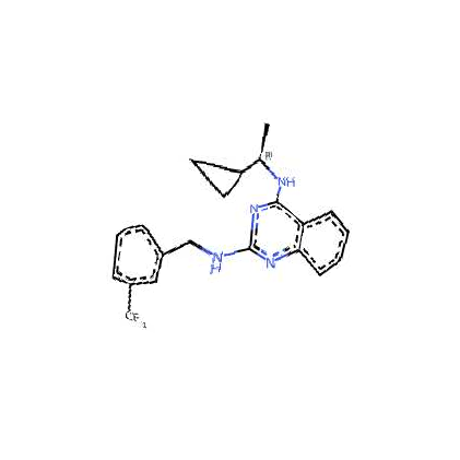 C[C@@H](Nc1nc(NCc2cccc(C(F)(F)F)c2)nc2ccccc12)C1CC1